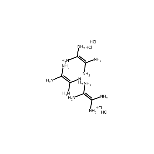 Cl.Cl.Cl.Cl.NC(N)=C(N)N.NC(N)=C(N)N.NC(N)=C(N)N